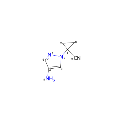 N#CC1(n2cc(N)cn2)CC1